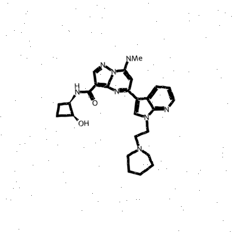 CNc1cc(-c2cn(CCN3CCCCC3)c3ncccc23)nc2c(C(=O)N[C@@H]3CC[C@@H]3O)cnn12